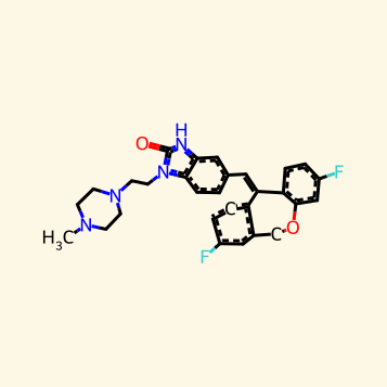 CN1CCN(CCn2c(=O)[nH]c3cc(/C=C4\c5ccc(F)cc5COc5cc(F)ccc54)ccc32)CC1